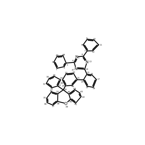 c1ccc(-c2nc(-c3ccccc3)nc(-c3ccccc3-c3cccc(C4(c5ccccc5)c5ccccc5Oc5ccccc54)c3)n2)cc1